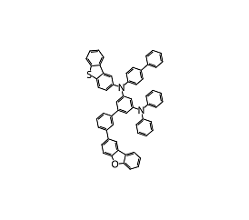 c1ccc(-c2ccc(N(c3cc(-c4cccc(-c5ccc6oc7ccccc7c6c5)c4)cc(N(c4ccccc4)c4ccccc4)c3)c3ccc4sc5ccccc5c4c3)cc2)cc1